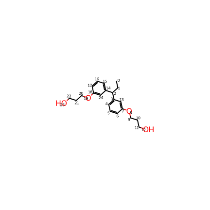 CCC(c1cccc(OCCCO)c1)c1cccc(OCCCO)c1